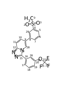 CS(=O)(=O)c1cccc(-c2ccc3nnc(-c4cccc(OC(F)(F)F)c4)n3c2)c1